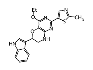 CCOc1nc(-c2cnc(C)s2)nc2c1OC(c1c[nH]c3ccccc13)CN2